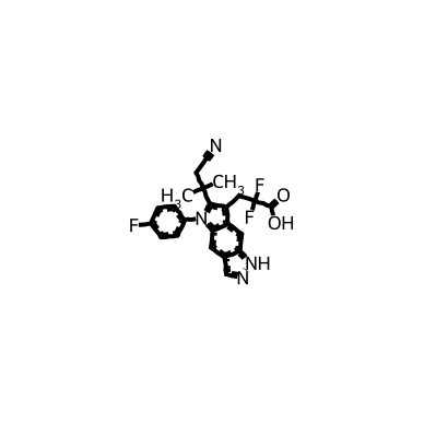 CC(C)(CC#N)c1c(CC(F)(F)C(=O)O)c2cc3[nH]ncc3cc2n1-c1ccc(F)cc1